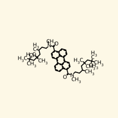 CC(CCN(C)C(=O)c1ccc2c3cccc4c(C(=O)N(C)CCC(C)CC(C)(C)CC(C)(C)C)ccc(c5cccc1c52)c43)CC(C)(C)CC(C)(C)C